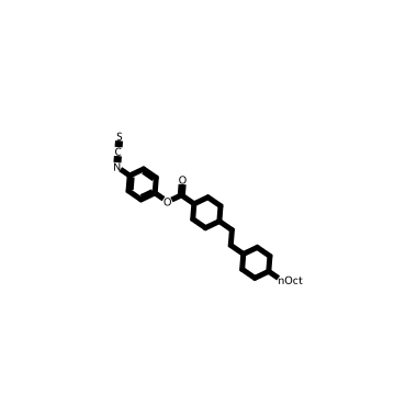 CCCCCCCCC1CCC(CCC2CCC(C(=O)Oc3ccc(N=C=S)cc3)CC2)CC1